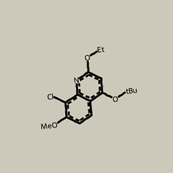 CCOc1cc(OC(C)(C)C)c2ccc(OC)c(Cl)c2n1